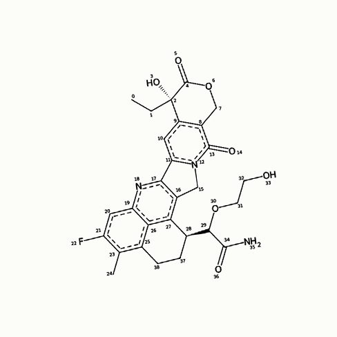 CC[C@@]1(O)C(=O)OCc2c1cc1n(c2=O)Cc2c-1nc1cc(F)c(C)c3c1c2[C@@H](C(OCCO)C(N)=O)CC3